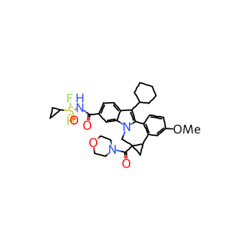 COc1ccc2c(c1)C1CC1(C(=O)N1CCOCC1)Cn1c-2c(C2CCCCC2)c2ccc(C(=O)N[SH](=O)(F)C3CC3)cc21